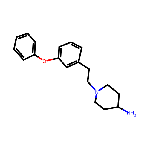 NC1CCN(C[CH]c2cccc(Oc3ccccc3)c2)CC1